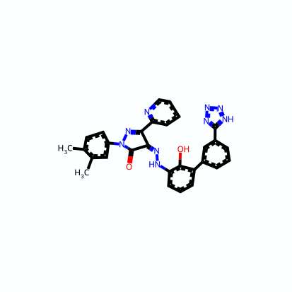 Cc1ccc(N2N=C(c3ccccn3)/C(=N/Nc3cccc(-c4cccc(-c5nnn[nH]5)c4)c3O)C2=O)cc1C